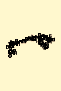 O=C1CCC(N2Cc3c(NC(=O)CCNCCOCCn4cc(CNC(=O)[C@]5(Cc6cccc(Nc7nccs7)n6)CC[C@@H](Oc6cccc(Cl)c6F)CC5)nn4)cccc3C2=O)C(=O)N1